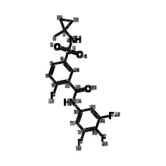 CC1(NS(=O)(=O)c2ccc(F)c(C(=O)Nc3cc(F)c(F)c(F)c3)c2)CC1